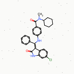 CN(C(=O)c1ccc(NC(=C2C(=O)Nc3cc(Cl)ccc32)c2ccccc2)cc1)C1CCCCC1